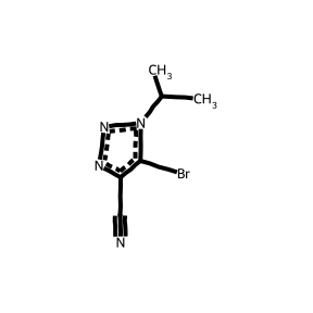 CC(C)n1nnc(C#N)c1Br